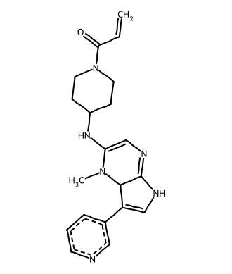 C=CC(=O)N1CCC(NC2=CN=C3NC=C(c4cccnc4)C3N2C)CC1